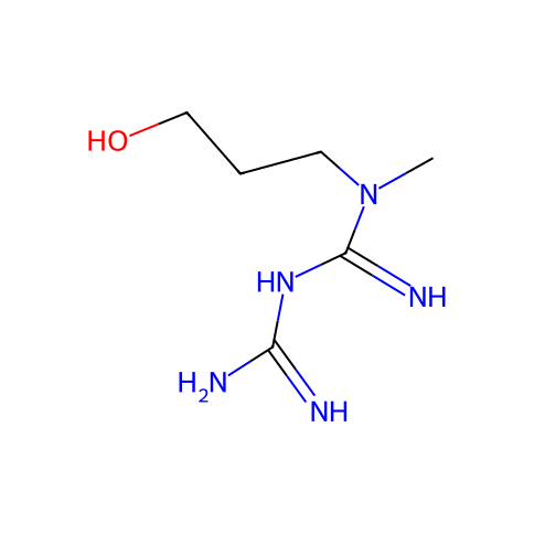 CN(CCCO)C(=N)NC(=N)N